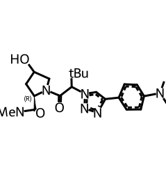 CNC(=O)[C@H]1CC(O)CN1C(=O)C(n1cc(-c2ccc(N(C)C)cc2)nn1)C(C)(C)C